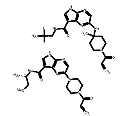 C=CC(=O)N1CCC(C)(Nc2cnc3[nH]cc(C(=O)NCC(C)(F)F)c3n2)CC1.C=CC(=O)N1CCN(c2cnc3[nH]cc(C(=O)N[C@@H](C)COC)c3n2)CC1